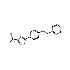 FC(F)c1n[nH]c(-c2ccc(OCc3ccccc3)cc2)n1